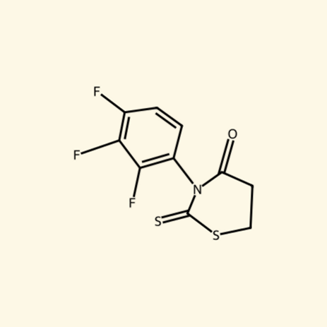 O=C1CCSC(=S)N1c1ccc(F)c(F)c1F